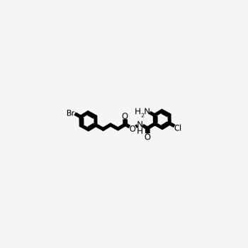 Nc1ccc(Cl)cc1C(=O)NOC(=O)CCCc1ccc(Br)cc1